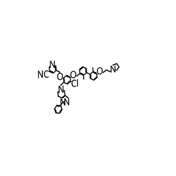 Cc1c(COc2cc(OCc3cncc(C#N)c3)c(CN3CCc4c(cnn4-c4ccccc4)C3)cc2Cl)cccc1-c1cccc(OCCCN2CCCC2)c1C